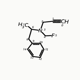 C#CCN(CF)C(C)Cc1ccccc1